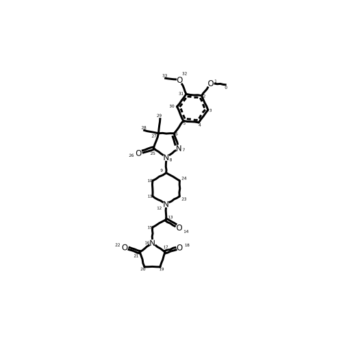 COc1ccc(C2=NN(C3CCN(C(=O)CN4C(=O)CCC4=O)CC3)C(=O)C2(C)C)cc1OC